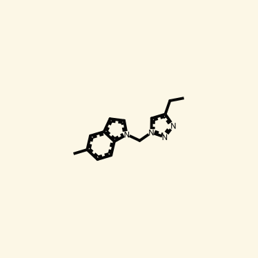 CCc1cn(Cn2ccc3cc(C)ccc32)nn1